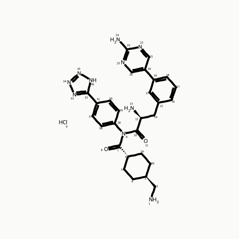 Cl.NC[C@H]1CC[C@H](C(=O)N(C(=O)[C@@H](N)Cc2cccc(-c3cnc(N)nc3)c2)c2ccc(-c3nnn[nH]3)cc2)CC1